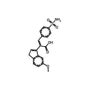 COc1ccc2c(c1)C(C(=Cc1ccc(S(N)(=O)=O)cc1)C(=O)O)=CC2